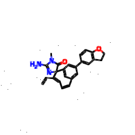 C=C/C1=C\C=C/c2cc(-c3ccc4c(c3)CCO4)cc(c2)C12N=C(N)N(C)C2=O